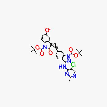 COc1ccc2c(c1)[C@]1(C[C@H]1c1ccc3c(Nc4nc(C)ncc4Cl)nn(C(=O)OC(C)(C)C)c3c1)C(=O)N2C(=O)OC(C)(C)C